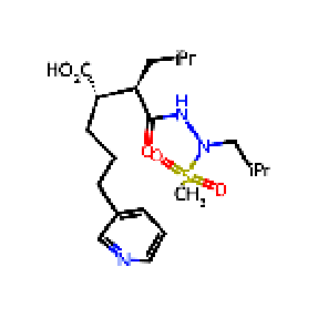 CC(C)C[C@@H](C(=O)NN(CC(C)C)S(C)(=O)=O)[C@H](CCCc1cccnc1)C(=O)O